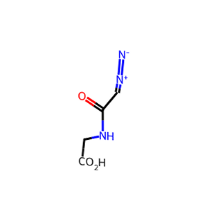 [N-]=[N+]=CC(=O)NCC(=O)O